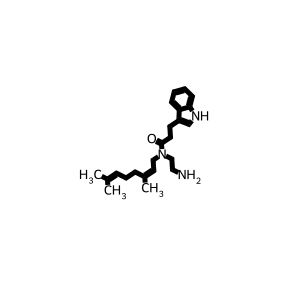 CC(C)=CCCC(C)=CCN(CCN)C(=O)CCc1c[nH]c2ccccc12